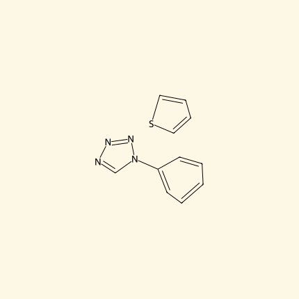 c1ccc(-n2cnnn2)cc1.c1ccsc1